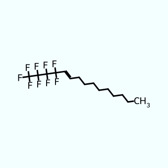 CCCCCCCCCC=CC(F)(F)C(F)(F)C(F)(F)C(F)(F)F